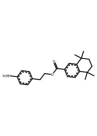 CC(=O)Nc1ccc(CCOC(=O)c2ccc3c(c2)C(C)(C)CCC3(C)C)cc1